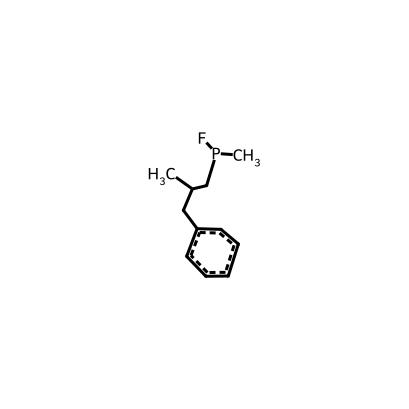 CC(Cc1ccccc1)CP(C)F